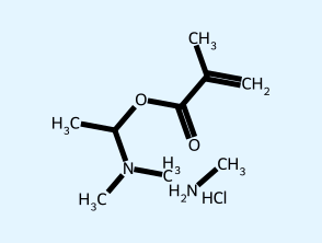 C=C(C)C(=O)OC(C)N(C)C.CN.Cl